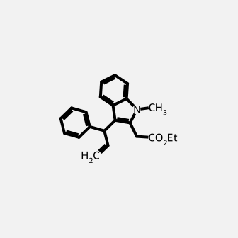 C=CC(c1ccccc1)c1c(CC(=O)OCC)n(C)c2ccccc12